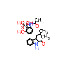 CC(=O)Nc1cccc(O)c1[As](=O)(O)O.CC(C)CC1c2ccccc2NC1C=O